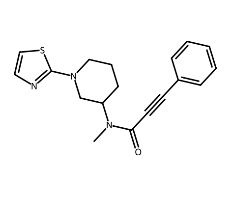 CN(C(=O)C#Cc1ccccc1)C1CCCN(c2nccs2)C1